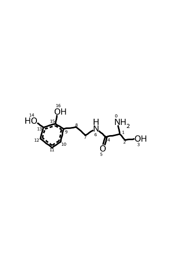 NC(CO)C(=O)NCCc1cccc(O)c1O